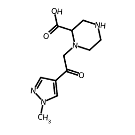 Cn1cc(C(=O)CN2CCNCC2C(=O)O)cn1